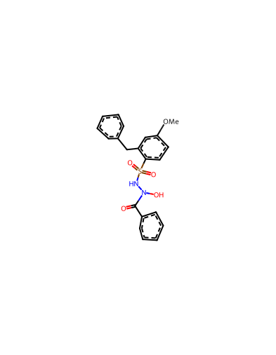 COc1ccc(S(=O)(=O)NN(O)C(=O)c2ccccc2)c(Cc2ccccc2)c1